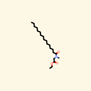 CCCCCCCCCCCCCCCC(=O)N(C)CC(=O)OCC